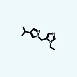 CCn1cncc1Cn1cc(C(C)C)cn1